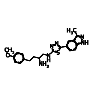 COc1ccc(CCC(N)CNc2nnc(-c3ccc4[nH]nc(C)c4c3)s2)cc1